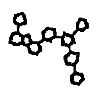 c1ccc(-c2ccc(-c3nc(-c4ccccc4)nc(-c4cccc(-c5cccc6c5sc5c(-c7ccccc7)cccc56)n4)n3)nc2)cc1